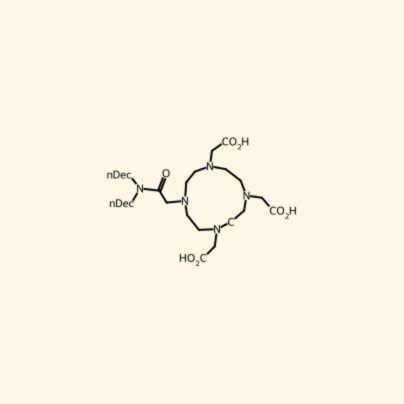 CCCCCCCCCCN(CCCCCCCCCC)C(=O)CN1CCN(CC(=O)O)CCN(CC(=O)O)CCN(CC(=O)O)CC1